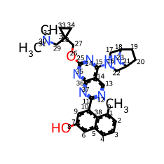 Cc1cccc2cc(O)cc(-c3ncc4c(N5CC6CCC(C5)N6)nc(OCC5(CN(C)C)CC5)nc4n3)c12